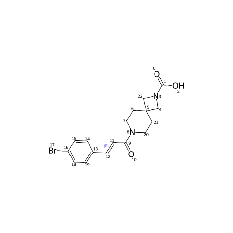 O=C(O)N1CC2(CCN(C(=O)/C=C/c3ccc(Br)cc3)CC2)C1